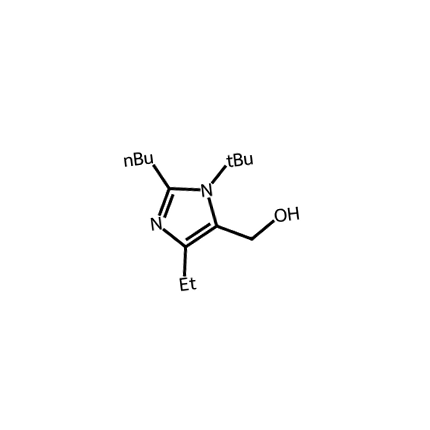 CCCCc1nc(CC)c(CO)n1C(C)(C)C